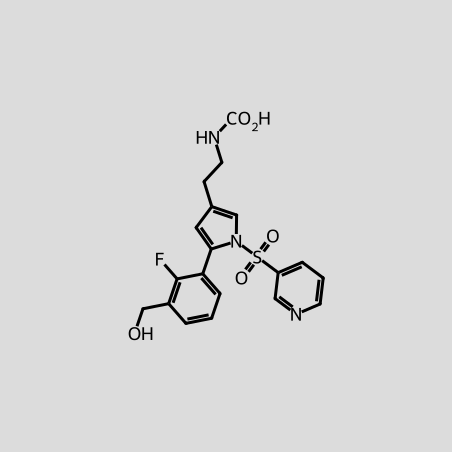 O=C(O)NCCc1cc(-c2cccc(CO)c2F)n(S(=O)(=O)c2cccnc2)c1